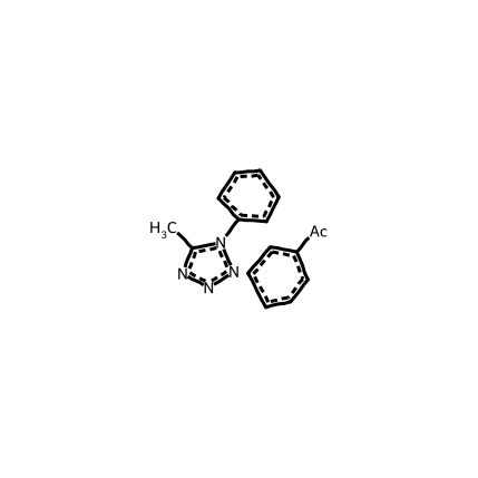 CC(=O)c1ccccc1.Cc1nnnn1-c1ccccc1